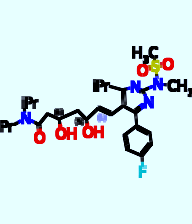 CC(C)c1nc(N(C)S(C)(=O)=O)nc(-c2ccc(F)cc2)c1/C=C/[C@@H](O)C[C@@H](O)CC(=O)N(C(C)C)C(C)C